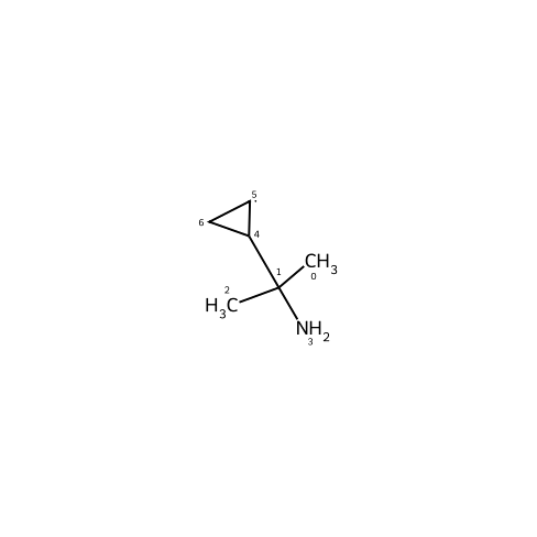 CC(C)(N)C1[CH]C1